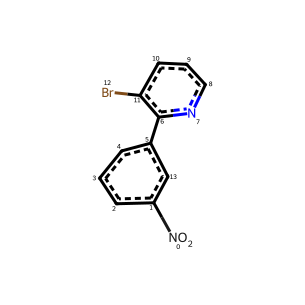 O=[N+]([O-])c1cccc(-c2ncccc2Br)c1